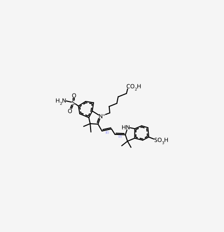 CC1(C)C(/C=C/C=C2\Nc3ccc(S(=O)(=O)O)cc3C2(C)C)=[N+](CCCCCC(=O)O)c2ccc(S(N)(=O)=O)cc21